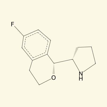 Fc1ccc2c(c1)CCO[C@H]2[C@@H]1CCCN1